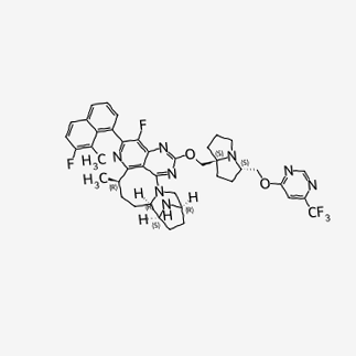 Cc1c(F)ccc2cccc(-c3nc4c5c(nc(OC[C@@]67CCCN6[C@H](COc6cc(C(F)(F)F)ncn6)CC7)nc5c3F)N3C[C@H]5CC[C@H](N5)[C@H]3CC[C@H]4C)c12